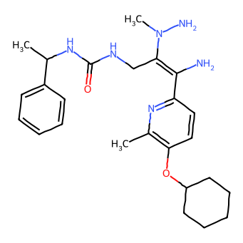 Cc1nc(/C(N)=C(\CNC(=O)NC(C)c2ccccc2)N(C)N)ccc1OC1CCCCC1